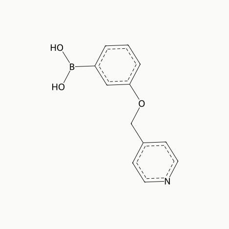 OB(O)c1cccc(OCc2ccncc2)c1